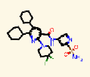 NS(=O)(=O)c1cc(NC(=O)c2cc(C3CCCCC3)c(C3CCCCC3)nc2N2CCC(F)(F)CC2)ccn1